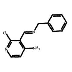 Nc1ccnc(Cl)c1/C=N/Cc1ccccc1